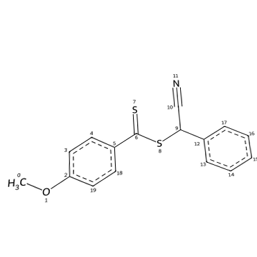 COc1ccc(C(=S)SC(C#N)c2ccccc2)cc1